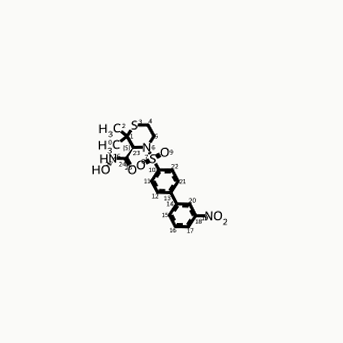 CC1(C)SCCN(S(=O)(=O)c2ccc(-c3cccc([N+](=O)[O-])c3)cc2)[C@H]1C(=O)NO